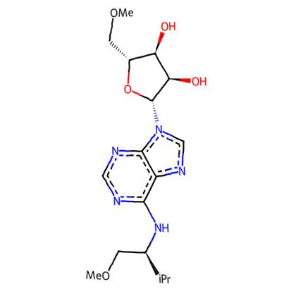 COC[C@@H](Nc1ncnc2c1ncn2[C@@H]1O[C@H](COC)[C@@H](O)[C@H]1O)C(C)C